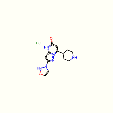 Cl.O=c1cc(C2CCNCC2)n2nc(N3C=CON3)cc2[nH]1